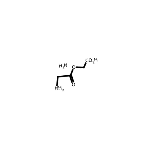 N.NCC(=O)OCC(=O)O